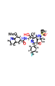 COc1cc(C(=O)NCC(O)(c2cc3c(c(-c4ccc(F)cc4)n2)OCC3(C)N[S+]([O-])C(C)(C)C)C(F)(F)F)cc2cccnc12